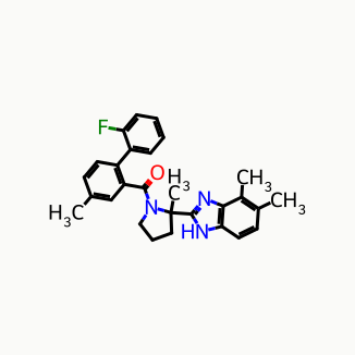 Cc1ccc(-c2ccccc2F)c(C(=O)N2CCCC2(C)c2nc3c(C)c(C)ccc3[nH]2)c1